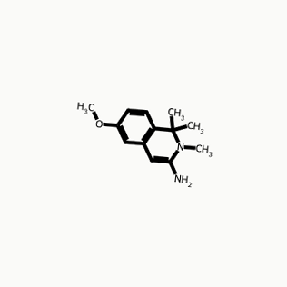 COc1ccc2c(c1)C=C(N)N(C)C2(C)C